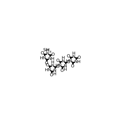 O=c1[nH]c(=O)[nH]c(=O)[nH]1.O=c1[nH]c(=O)[nH]c(=O)[nH]1.O=c1[nH]c(=O)[nH]c(=O)[nH]1.O=c1[nH]c(=O)[nH]c(=O)[nH]1.[SiH4]